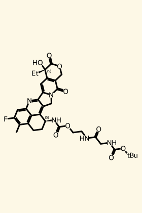 CC[C@@]1(O)C(=O)OCc2c1cc1n(c2=O)Cc2c-1nc1cc(F)c(C)c3c1c2[C@@H](NC(=O)OCCNC(=O)CNC(=O)OC(C)(C)C)CC3